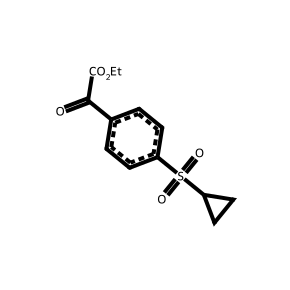 CCOC(=O)C(=O)c1ccc(S(=O)(=O)C2CC2)cc1